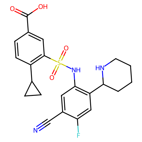 N#Cc1cc(NS(=O)(=O)c2cc(C(=O)O)ccc2C2CC2)c(C2CCCCN2)cc1F